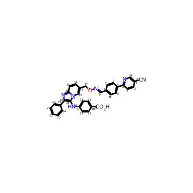 N#Cc1ccc(-c2ccc(C=NOCc3ccc4nc(-c5ccccc5)c(Nc5ccc(C(=O)O)cc5)n4c3)cc2)nc1